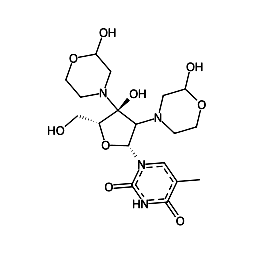 Cc1cn([C@@H]2O[C@H](CO)[C@](O)(N3CCOC(O)C3)C2N2CCOC(O)C2)c(=O)[nH]c1=O